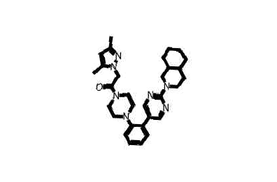 Cc1cc(C)n(CC(=O)N2CCN(c3ccccc3-c3cnc(N4CCC5CCCCC5C4)nc3)CC2)n1